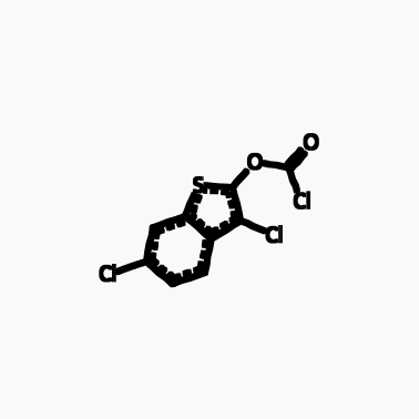 O=C(Cl)Oc1sc2cc(Cl)ccc2c1Cl